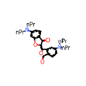 CCCN(CCC)c1ccc2c(c1)O/C(=C1\OC(=O)c3ccc(N(CCC)CCC)cc31)C2=O